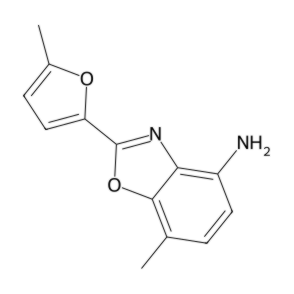 Cc1ccc(-c2nc3c(N)ccc(C)c3o2)o1